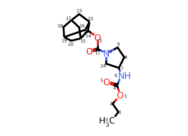 CCCOC(=O)NC1CCN(C(=O)OC2C3CC4CC(C3)CC2C4)C1